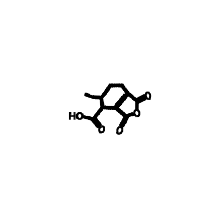 CC1CCC2=C(C(=O)OC2=O)C1C(=O)O